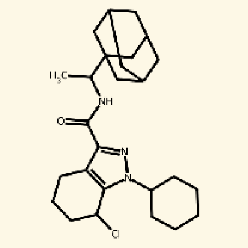 CC(NC(=O)c1nn(C2CCCCC2)c2c1CCCC2Cl)C12CC3CC(CC(C3)C1)C2